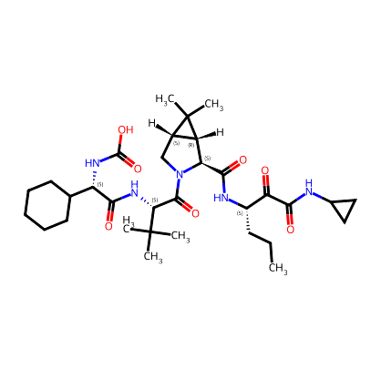 CCC[C@H](NC(=O)[C@@H]1[C@@H]2[C@H](CN1C(=O)[C@@H](NC(=O)[C@@H](NC(=O)O)C1CCCCC1)C(C)(C)C)C2(C)C)C(=O)C(=O)NC1CC1